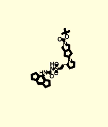 CC(C)(C)OC(=O)N1CC2CC(N3CCC[C@@H]3/C=C/S(=O)(=O)NC(=O)Nc3c4c(cc5c3CCC5)CCC4)CC2C1